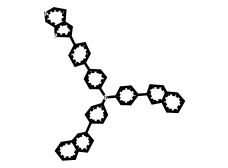 c1ccc2cc(-c3ccc(N(c4ccc(-c5ccc(-c6cc7ccncc7s6)cc5)cc4)c4ccc(-c5ccc6ccccc6c5)cc4)cc3)ccc2c1